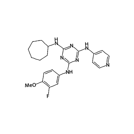 COc1ccc(Nc2nc(Nc3ccncc3)nc(NC3CCCCCC3)n2)cc1F